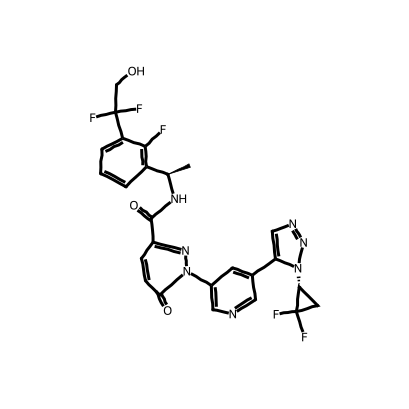 C[C@@H](NC(=O)c1ccc(=O)n(-c2cncc(-c3cnnn3[C@@H]3CC3(F)F)c2)n1)c1cccc(C(F)(F)CO)c1F